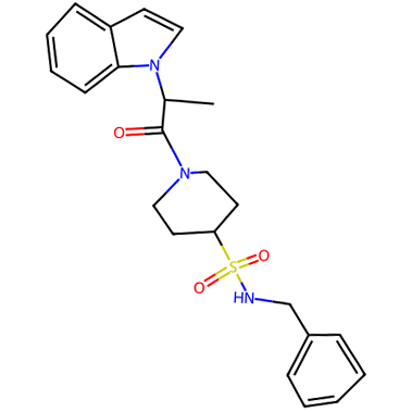 CC(C(=O)N1CCC(S(=O)(=O)NCc2ccccc2)CC1)n1ccc2ccccc21